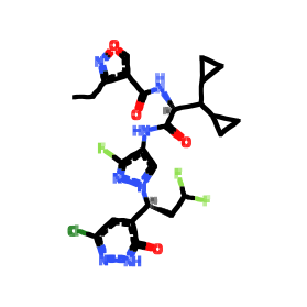 CCc1nocc1C(=O)N[C@H](C(=O)Nc1cn([C@@H](CC(F)F)c2cc(Cl)n[nH]c2=O)nc1F)C(C1CC1)C1CC1